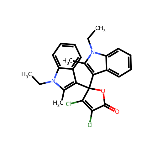 CCn1c(C)c(C2(c3c(C)n(CC)c4ccccc34)OC(=O)C(Cl)=C2Cl)c2ccccc21